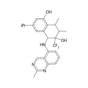 Cc1ncc2c(NC3c4cc(C(C)C)cc(O)c4C(C)C(C)C3(O)C(F)(F)F)cccc2n1